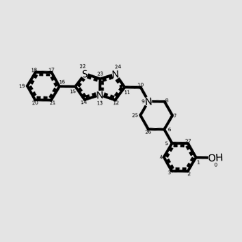 Oc1cccc(C2CCN(Cc3cn4cc(-c5ccccc5)sc4n3)CC2)c1